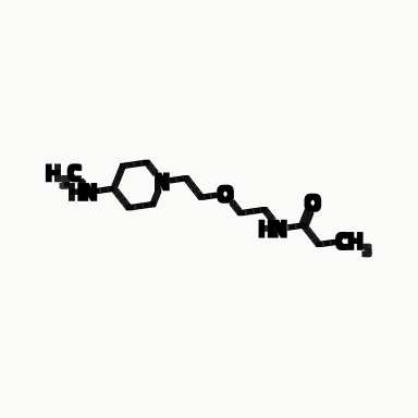 CCC(=O)NCCOCCN1CCC(NC)CC1